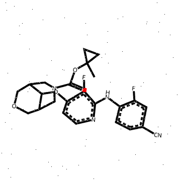 CC1(OC(=O)N2CC3COCC(C2)C3Oc2ccnc(Nc3ccc(C#N)cc3F)c2F)CC1